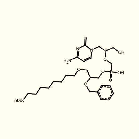 C=C1N=C(N)C=CN1C[C@@H](CO)OCP(=O)(O)OCC(COCCCCCCCCCCCCCCCCCC)OCc1ccccc1